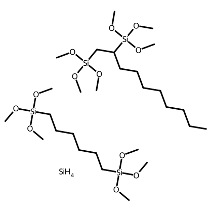 CCCCCCCCC(C[Si](OC)(OC)OC)[Si](OC)(OC)OC.CO[Si](CCCCCC[Si](OC)(OC)OC)(OC)OC.[SiH4]